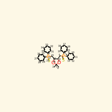 CC1(C)OC(CP(=S)(c2ccccc2)c2ccccc2)C(CP(=S)(c2ccccc2)c2ccccc2)O1